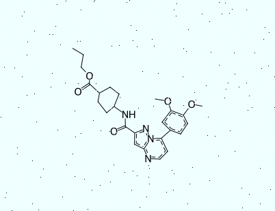 CCCOC(=O)C1CCC(NC(=O)c2cc3nccc(-c4ccc(OC)c(OC)c4)n3n2)CC1